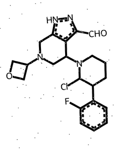 O=Cc1n[nH]c2c1C(N1CCCC(c3ccccc3F)C1Cl)CN(C1COC1)C2